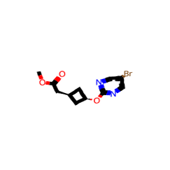 COC(=O)C[C@H]1C[C@H](Oc2ncc(Br)cn2)C1